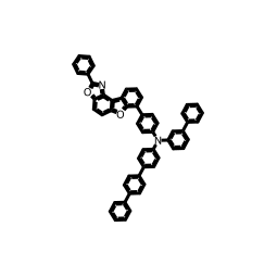 c1ccc(-c2ccc(-c3ccc(N(c4ccc(-c5cccc6c5oc5ccc7oc(-c8ccccc8)nc7c56)cc4)c4cccc(-c5ccccc5)c4)cc3)cc2)cc1